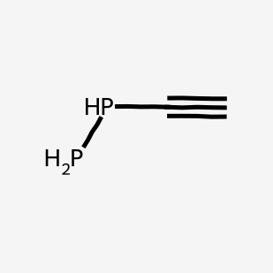 C#CPP